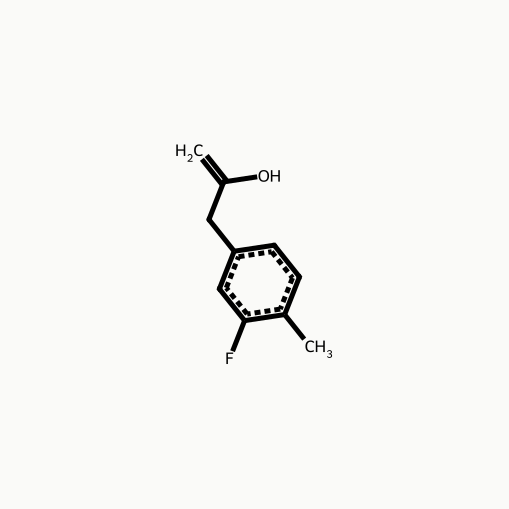 C=C(O)Cc1ccc(C)c(F)c1